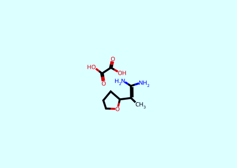 CC(=C(N)N)C1CCCO1.O=C(O)C(=O)O